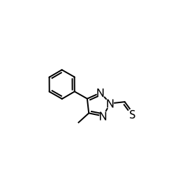 Cc1nn(C=S)nc1-c1ccccc1